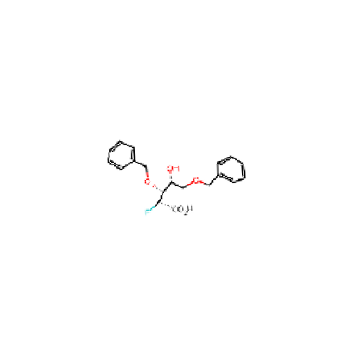 O=C(O)[C@H](F)[C@H](OCc1ccccc1)[C@H](O)COCc1ccccc1